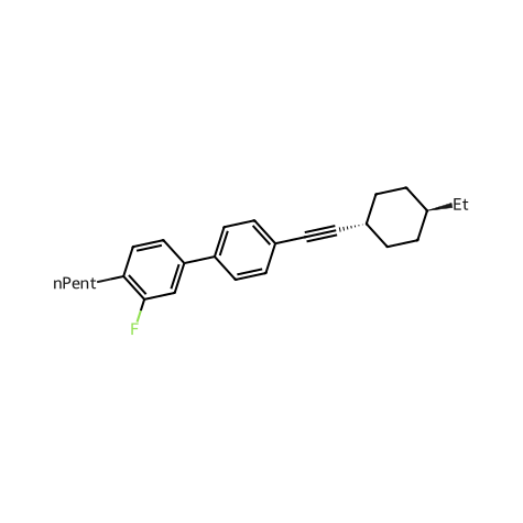 CCCCCc1ccc(-c2ccc(C#C[C@H]3CC[C@H](CC)CC3)cc2)cc1F